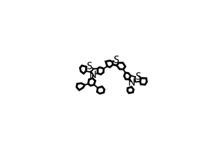 c1ccc(-c2cc(-c3ccccc3)cc(N3c4ccc(-c5ccc6sc7ccc(-c8ccc9c(c8)C8Sc%10ccccc%10C8N9c8ccccc8)cc7c6c5)cc4C4Sc5ccccc5C43)c2)cc1